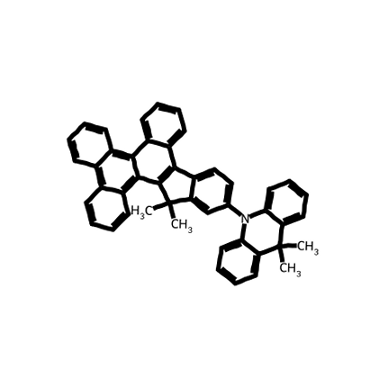 CC1(C)c2ccccc2N(c2ccc3c(c2)C(C)(C)c2c-3c3ccccc3c3c4ccccc4c4ccccc4c23)c2ccccc21